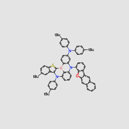 CC(C)(C)c1ccc(N(c2ccc(C(C)(C)C)cc2)c2ccc3c(c2)N(c2cccc4c2oc2cc5ccccc5cc24)c2cccc4c2B3c2sc3ccc(C(C)(C)C)cc3c2N4c2ccc(C(C)(C)C)cc2)cc1